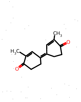 CC1=C/C(=C2\C=C(C)C(=O)CC2)CCC1=O